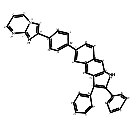 c1ccc(-c2[nH]c3cc4ccc(-c5ccc(-c6cn7cccnc7n6)cc5)cc4cc3c2-c2ccccc2)cc1